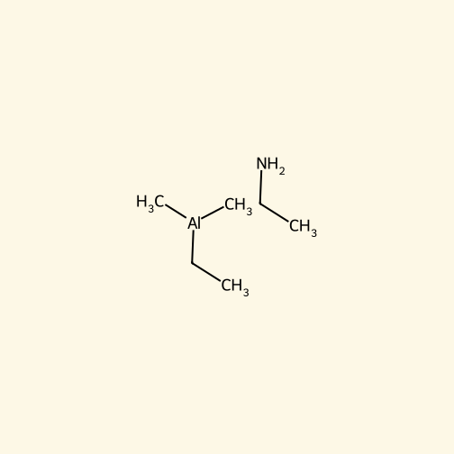 CCN.C[CH2][Al]([CH3])[CH3]